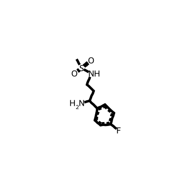 CS(=O)(=O)NCCC(N)c1ccc(F)cc1